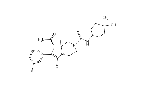 NC(=O)[C@@H]1C(c2cccc(F)c2)=C(Cl)N2CCN(C(=O)NC3CCC(O)(C(F)(F)F)CC3)C[C@H]12